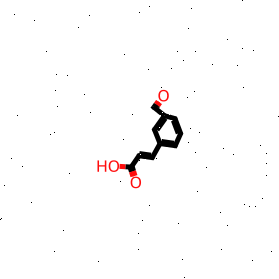 O=Cc1cccc(C=CC(=O)O)c1